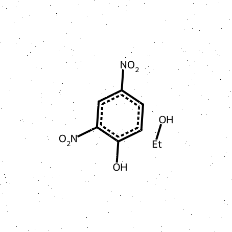 CCO.O=[N+]([O-])c1ccc(O)c([N+](=O)[O-])c1